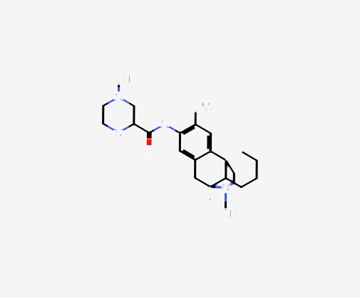 COc1cc2c(cc1NC(=O)C1CN(C)CCN1)C[C@H]1C3CCCC[C@@]23CCN1C